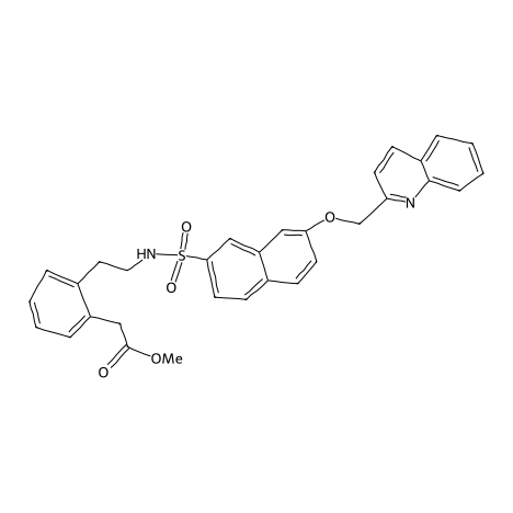 COC(=O)Cc1ccccc1CCNS(=O)(=O)c1ccc2ccc(OCc3ccc4ccccc4n3)cc2c1